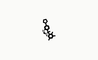 Cc1cc(C)c(C)c(C2(C)c3ccc(C4CCCC4)cc3N=CN2C)c1